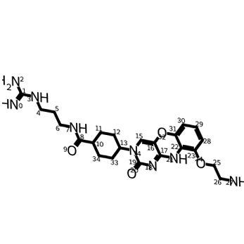 N=C(N)NCCCNC(=O)C1CCC(n2cc3c(nc2=O)Nc2c(OCCN)cccc2O3)CC1